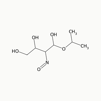 CC(C)OC(O)C(N=O)C(O)CO